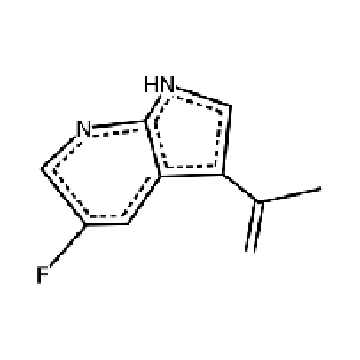 C=C(C)c1c[nH]c2ncc(F)cc12